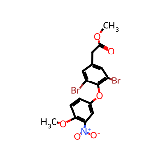 COC(=O)Cc1cc(Br)c(Oc2ccc(OC)c([N+](=O)[O-])c2)c(Br)c1